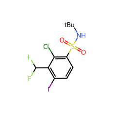 CC(C)(C)NS(=O)(=O)c1ccc(I)c(C(F)F)c1Cl